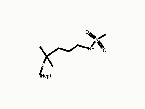 CCCCCCCCC(C)(C)CCCNS(C)(=O)=O